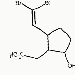 O=C(O)CC1C(O)CCC1C=C(Br)Br